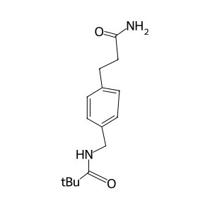 CC(C)(C)C(=O)NCc1ccc(CCC(N)=O)cc1